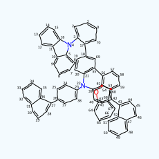 c1ccc(-n2c3ccccc3c3ccccc32)c(-c2ccc(N(c3ccc(-c4cccc5ccccc45)cc3)c3ccc(-c4cccc5ccccc45)cc3)c(-c3cccc4c3oc3ccccc34)c2)c1